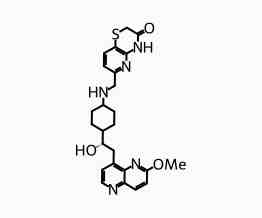 COc1ccc2nccc(C[C@H](O)C3CCC(NCc4ccc5c(n4)NC(=O)CS5)CC3)c2n1